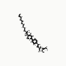 CCCCCCC=CCCC(=O)Oc1ccc(-c2ccc(CCC(C)OC(=O)CC)cc2)nc1